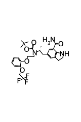 C[C@H](Cc1cc2c(c(C(N)=O)c1)NCC2)N(CCOc1ccccc1OCC(F)(F)F)C(=O)OC(C)(C)C